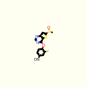 C[S+]([O-])c1cc2ncnc(Oc3ccc(N=O)cc3F)c2s1